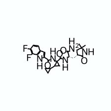 CC1(C)C[C@@H](C[C@H](NC(=O)C2(NC(=O)c3cc4ccc(F)c(F)c4[nH]3)CC2C2CC2)C(N)=O)C(=O)N1